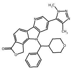 Cc1nnn(C)c1-c1cnc2c3ccc4c(c3n(C(c3ccccc3)C3CCOCC3)c2c1)COC4=O